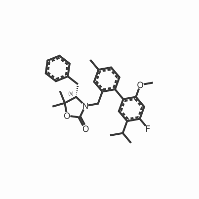 COc1cc(F)c(C(C)C)cc1-c1ccc(C)cc1CN1C(=O)OC(C)(C)[C@@H]1Cc1ccccc1